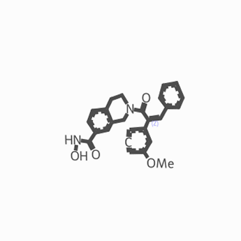 COc1cccc(/C(=C/c2ccccc2)C(=O)N2CCc3ccc(C(=O)NO)cc3C2)c1